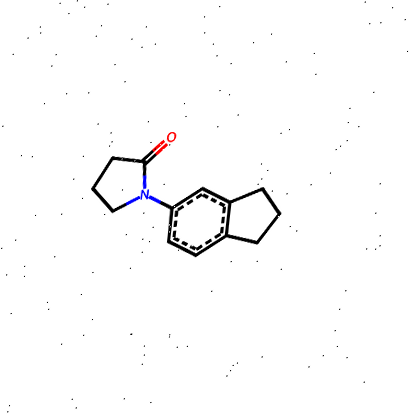 O=C1CCCN1c1ccc2c(c1)CCC2